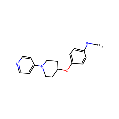 CNc1ccc(OC2CCN(c3ccncc3)CC2)cc1